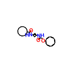 O=C(COC1=C/C=C\C=C/C=C\C=C/C=C\1)NC12CC(NC(=O)C3CCCCCCCCCCC3)(C1)C2